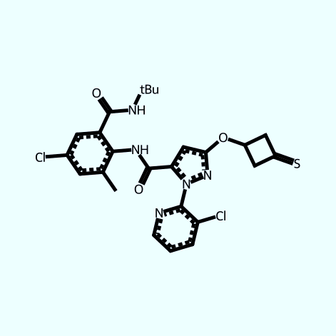 Cc1cc(Cl)cc(C(=O)NC(C)(C)C)c1NC(=O)c1cc(OC2CC(=S)C2)nn1-c1ncccc1Cl